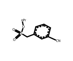 CCCOS(=O)(=O)Cc1cccc(C#N)c1